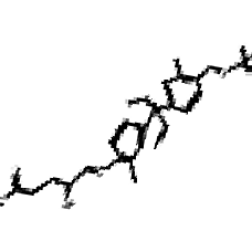 CCC(CC)(c1ccc(CSC(C)(C)C)c(C)c1)c1ccc(OCC(O)CCC(=O)O)c(C)c1